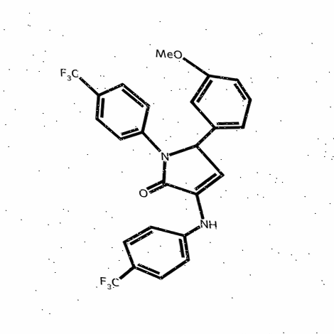 COc1cccc(C2C=C(Nc3ccc(C(F)(F)F)cc3)C(=O)N2c2ccc(C(F)(F)F)cc2)c1